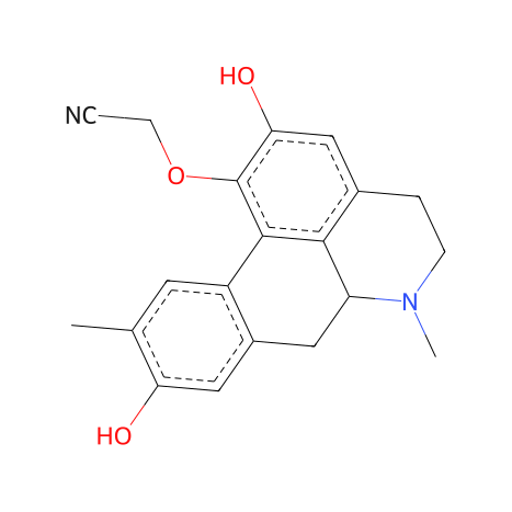 Cc1cc2c(cc1O)CC1c3c(cc(O)c(OCC#N)c3-2)CCN1C